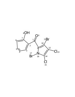 O=C(c1ccccc1O)c1c(Br)c(Cl)c(Cl)n1Br